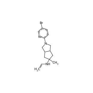 C=CNC1(C)CC2CN(c3ccc(Br)cn3)CC2C1